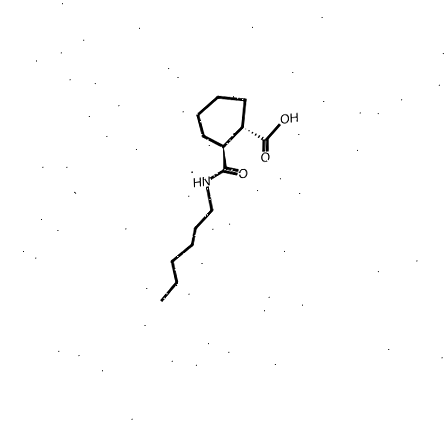 CCCCCCNC(=O)[C@H]1CCCC[C@@H]1C(=O)O